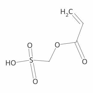 C=CC(=O)OCS(=O)(=O)O